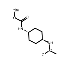 C[S+]([O-])N[C@H]1CC[C@H](NC(=O)OC(C)(C)C)CC1